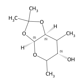 CC1O[C@H]2OC(C)(C)O[C@H]2C(C)[C@@H]1O